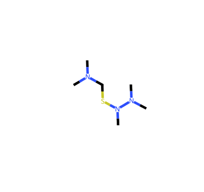 CN(C)CSN(C)N(C)C